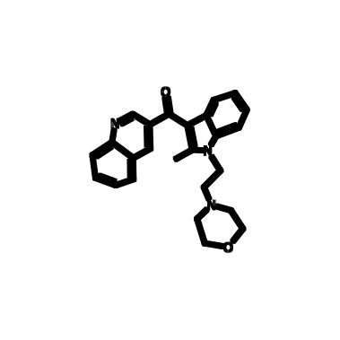 Cc1c(C(=O)c2cnc3ccccc3c2)c2ccccc2n1CCN1CCOCC1